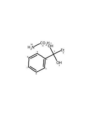 CCC(O)(O)c1ccccc1.NC(=O)O